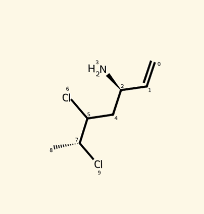 C=C[C@H](N)CC(Cl)[C@@H](C)Cl